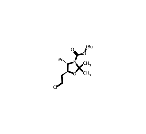 CC(C)[C@H]1[C@H](CCCl)OC(C)(C)N1C(=O)OC(C)(C)C